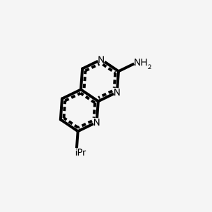 CC(C)c1ccc2cnc(N)nc2n1